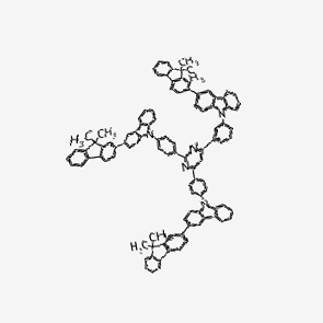 CC1(C)c2ccccc2-c2ccc(-c3ccc4c(c3)c3ccccc3n4-c3ccc(-c4cc(-c5cccc(-n6c7ccccc7c7cc(-c8ccc9c(c8)C(C)(C)c8ccccc8-9)ccc76)c5)nc(-c5ccc(-n6c7ccccc7c7cc(-c8ccc9c(c8)C(C)(C)c8ccccc8-9)ccc76)cc5)n4)cc3)cc21